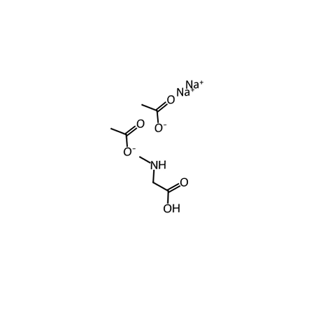 CC(=O)[O-].CC(=O)[O-].CNCC(=O)O.[Na+].[Na+]